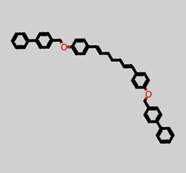 C(=Cc1ccc(OCc2ccc(-c3ccccc3)cc2)cc1)CCCC=Cc1ccc(OCc2ccc(-c3ccccc3)cc2)cc1